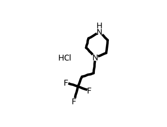 Cl.FC(F)(F)CCN1CCNCC1